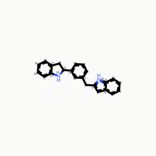 c1cc(Cc2cc3ccccc3[nH]2)cc(C2Cc3ccccc3N2)c1